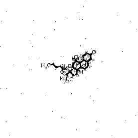 CCCCC(=O)O[C@]1(C(C)=O)[C@@H](C)C[C@H]2[C@@H]3CCC4=CC(=O)C=C[C@]4(C)[C@@]3(Cl)C(Cl)C[C@@]21C